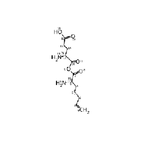 C=CCSC[C@H](N)C(=O)OC(=O)[C@@H](N)CCC(=O)O